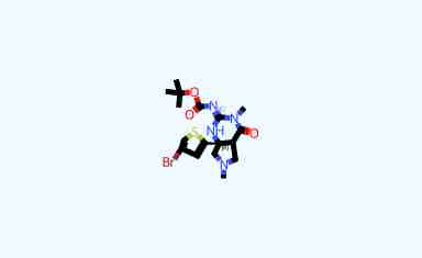 CN1CC2C(=O)N(C)/C(=N/C(=O)OC(C)(C)C)N[C@@]2(c2cc(Br)cs2)C1